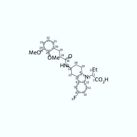 CCC(C(=O)O)n1c2c(c3cc(F)ccc31)C[C@@H](NC(=O)CCc1cccc(OC)c1OC)CC2